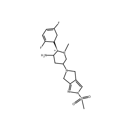 CN1CC(N2Cc3cn(S(C)(=O)=O)nc3C2)CC(N)[C@H]1C1CC(F)=CC=C1F